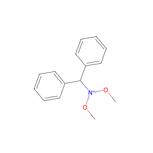 CO[N+](OC)C(c1ccccc1)c1ccccc1